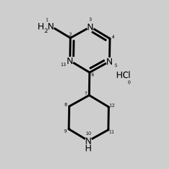 Cl.Nc1ncnc(C2CCNCC2)n1